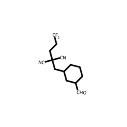 N#CC(C#N)(CCC(F)(F)F)CC1CCCC(C=O)C1